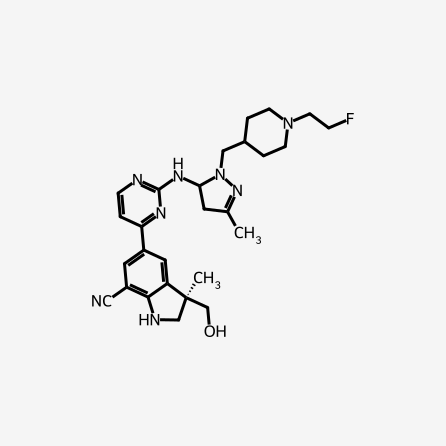 CC1=NN(CC2CCN(CCF)CC2)C(Nc2nccc(-c3cc(C#N)c4c(c3)[C@@](C)(CO)CN4)n2)C1